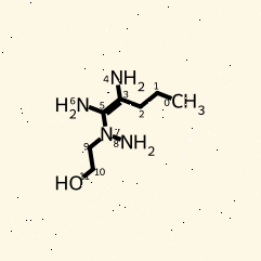 CCC/C(N)=C(/N)N(N)CCO